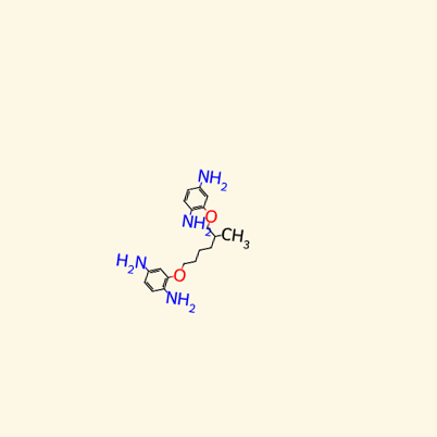 CC(CCCCOc1cc(N)ccc1N)COc1cc(N)ccc1N